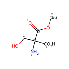 CC(C)(C)OC(=O)C(N)(CO)C(=O)O